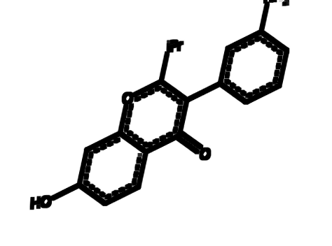 CC(C)c1oc2cc(O)ccc2c(=O)c1-c1cccc(N)c1